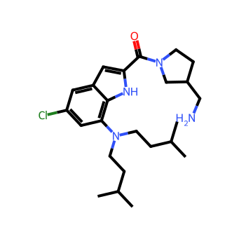 CC(C)CCN(CCC(C)C)c1cc(Cl)cc2cc(C(=O)N3CCC(CN)C3)[nH]c12